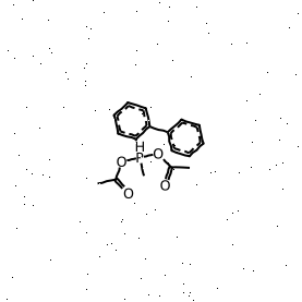 CC(=O)O[PH](C)(OC(C)=O)c1ccccc1-c1ccccc1